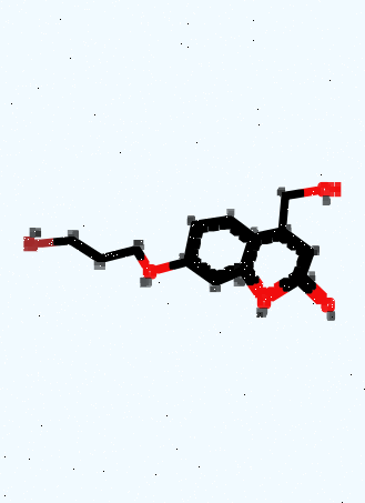 O=c1cc(CO)c2ccc(OCCCBr)cc2o1